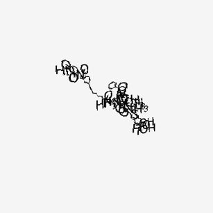 CC(C)(C)[C@H](NC(=O)c1cc2cc(C(F)(F)P(=O)(O)O)ccc2s1)C(=O)N1C[C@@H](NC(=O)CCCCCC#Cc2ccc3c(c2)CN(C2CCC(=O)NC2=O)C3=O)C[C@H]1C(=O)N1CCO[C@H](c2ccccc2)C1